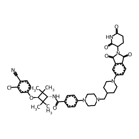 CC1(C)[C@H](NC(=O)c2ccc(N3CCN(CC4CCN(c5ccc6c(c5)C(=O)N(C5CCC(=O)NC5=O)C6=O)CC4)CC3)cc2)C(C)(C)[C@H]1Oc1ccc(C#N)c(Cl)c1